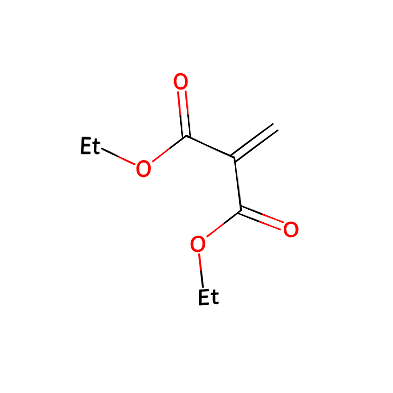 C=C(C(=O)OCC)C(=O)OCC